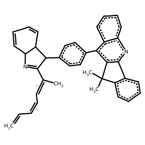 C=C/C=C\C=C(/C)C1=NC2C=CC=CC2C1c1ccc(-c2c3c(nc4ccccc24)-c2ccccc2C3(C)C)cc1